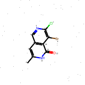 Cc1cc2cnc(Cl)c(Br)c2c(=O)[nH]1